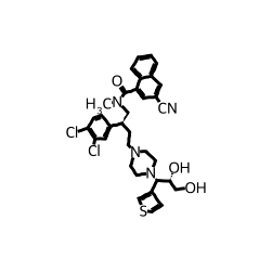 CN(C[C@@H](CCN1CCN([C@@H](c2ccsc2)[C@H](O)CO)CC1)c1ccc(Cl)c(Cl)c1)C(=O)c1cc(C#N)cc2ccccc12